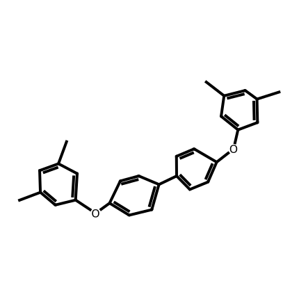 Cc1cc(C)cc(Oc2ccc(-c3ccc(Oc4cc(C)cc(C)c4)cc3)cc2)c1